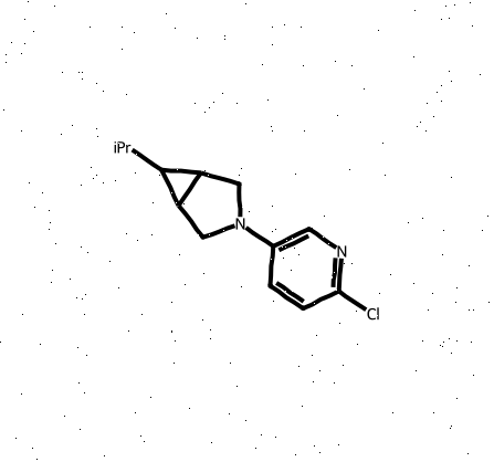 CC(C)C1C2CN(c3ccc(Cl)nc3)CC21